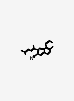 C/C=C\c1c(C)ccc2cc(C#N)c(/C(C)=C/C=C(C)C)cc12